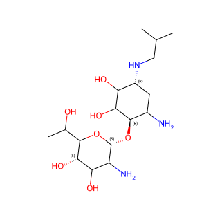 CC(C)CN[C@@H]1CC(N)[C@@H](O[C@H]2OC(C(C)O)[C@@H](O)C(O)C2N)C(O)C1O